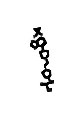 FC1(F)CC1.O=C(O)N[C@H]1CC[C@H](CCN2CCN(c3cccc4c3OCO4)CC2)CC1